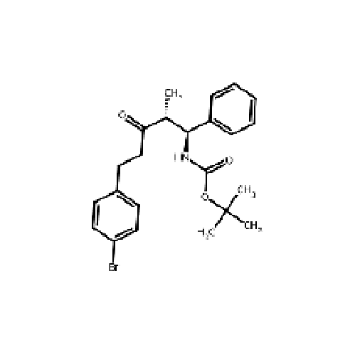 C[C@@H](C(=O)CCc1ccc(Br)cc1)[C@H](NC(=O)OC(C)(C)C)c1ccccc1